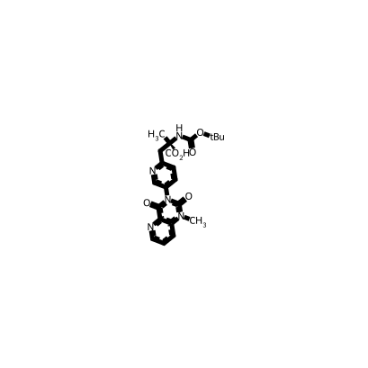 Cn1c(=O)n(-c2ccc(C[C@](C)(NC(=O)OC(C)(C)C)C(=O)O)nc2)c(=O)c2ncccc21